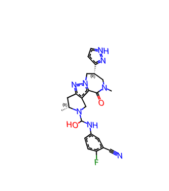 C[C@@H]1Cc2nn3c(c2CN1C(O)Nc1ccc(F)c(C#N)c1)C(=O)N(C)C[C@@H](c1cc[nH]n1)C3